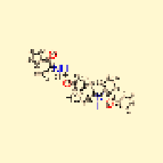 O=C(c1ccccc1)c1ccccc1NC(Cc1ccc(OCCNC(C(=O)C2CCCC2)C2CC2)cc1)C(=O)O